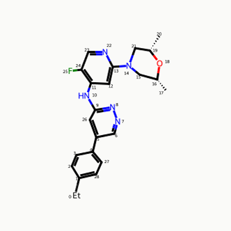 CCc1ccc(-c2cnnc(Nc3cc(N4C[C@@H](C)O[C@@H](C)C4)ncc3F)c2)cc1